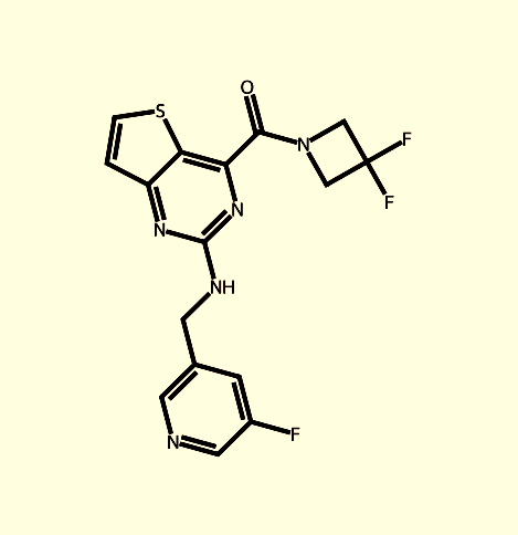 O=C(c1nc(NCc2cncc(F)c2)nc2ccsc12)N1CC(F)(F)C1